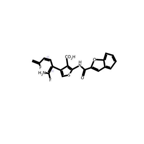 C=C(F)/C=C\C(=C(/N)F)c1csc(NC(=O)c2cc3ccccc3o2)c1C(=O)O